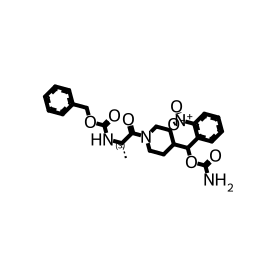 C[C@H](NC(=O)OCc1ccccc1)C(=O)N1CCC(C(OC(N)=O)c2ccccc2[N+](=O)[O-])CC1